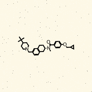 CN(C(=O)c1ccc(OCC2CC2)cc1)[C@H]1CCc2cc(CN3CCC(C(C)(C)C)CC3)ccc2C1